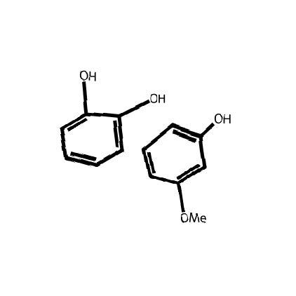 COc1cccc(O)c1.Oc1ccccc1O